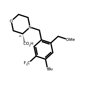 COCc1cc(C(C)(C)C)c(C(F)(F)F)cc1CN1CCOC[C@H]1C(=O)O